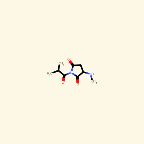 CNC1CC(=O)N(C(=O)C(C)C)C1=O